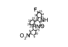 O=C(NCc1ccc([N+](=O)[O-])cc1)C1Nc2ccc(F)cc2C1c1ccccc1